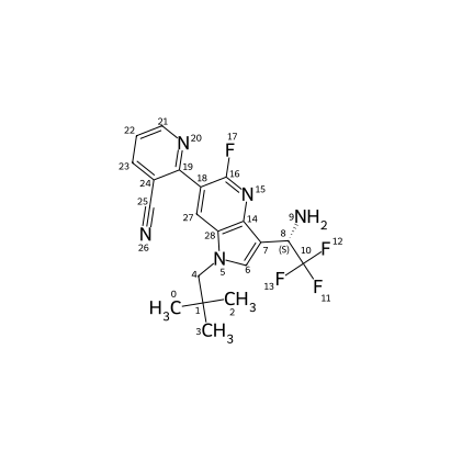 CC(C)(C)Cn1cc([C@H](N)C(F)(F)F)c2nc(F)c(-c3ncccc3C#N)cc21